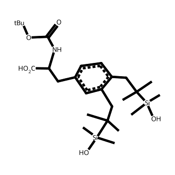 CC(C)(C)OC(=O)NC(Cc1ccc(CC(C)(C)[Si](C)(C)O)c(CC(C)(C)[Si](C)(C)O)c1)C(=O)O